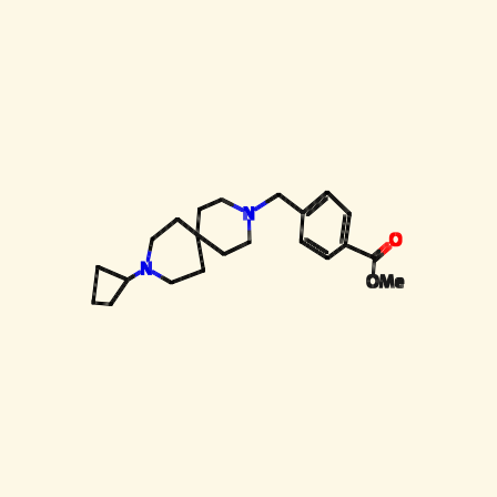 COC(=O)c1ccc(CN2CCC3(CC2)CCN(C2CCC2)CC3)cc1